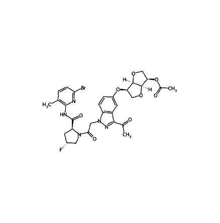 CC(=O)O[C@@H]1CO[C@H]2[C@@H]1OC[C@H]2Oc1ccc2c(c1)c(C(C)=O)nn2CC(=O)N1C[C@H](F)C[C@H]1C(=O)Nc1nc(Br)ccc1C